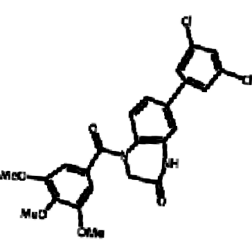 COc1cc(C(=O)N2CC(=O)Nc3cc(-c4cc(Cl)cc(Cl)c4)ccc32)cc(OC)c1OC